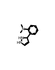 CN(C)c1ccccc1C1C=CNN1